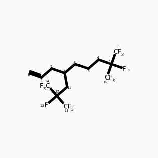 C=CCC(CCCC(F)(C(F)(F)F)C(F)(F)F)CC(F)(C(F)(F)F)C(F)(F)F